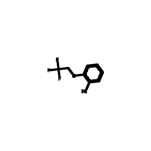 FC(F)(F)COc1c[c]ccc1S